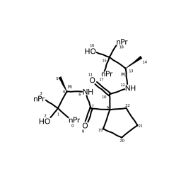 CCCC(O)(CCC)[C@@H](C)NC(=O)C1(C(=O)N[C@H](C)C(O)(CCC)CCC)CCCC1